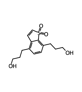 O=S1(=O)C=Cc2c(CCCO)ccc(CCCO)c21